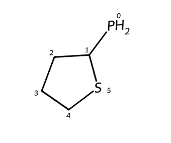 PC1CCCS1